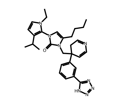 CCCCc1cn(-c2c(C(C)C)ccn2CC)c(=O)n1CC1(c2cccc(-c3nnn[nH]3)c2)C=CN=CC1